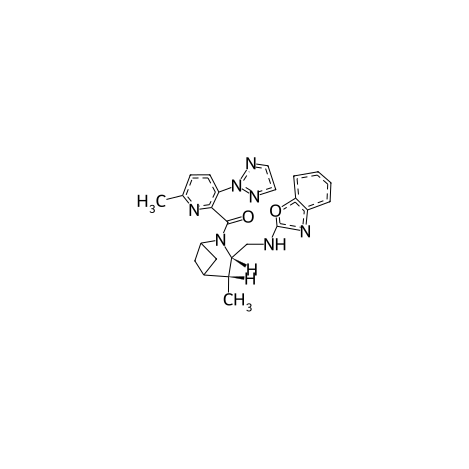 Cc1ccc(-n2nccn2)c(C(=O)N2C3CC(C3)[C@@H](C)[C@H]2CNc2nc3ccccc3o2)n1